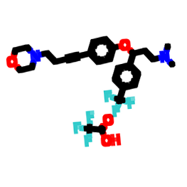 CN(C)CCC(Oc1ccc(C#CCCN2CCOCC2)cc1)c1ccc(C(F)(F)F)cc1.O=C(O)C(F)(F)F